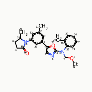 CCOCN(c1ncc(-c2cc(C)cc(N3C(=O)CCC3C)c2)o1)c1ccccc1C